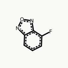 Fc1cccc2nonc12